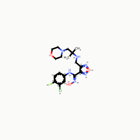 CC(C)(CN1CCOCC1)NCc1nonc1/C(=N/O)Nc1ccc(F)c(Cl)c1